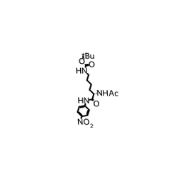 CC(=O)N[C@@H](CCCCNC(=O)OC(C)(C)C)C(=O)Nc1ccc([N+](=O)[O-])cc1